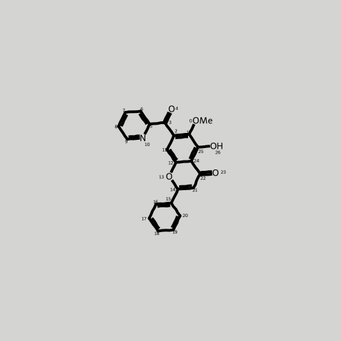 COc1c(C(=O)c2ccccn2)cc2oc(-c3ccccc3)cc(=O)c2c1O